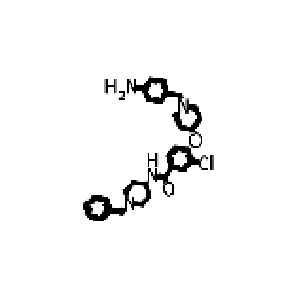 Nc1ccc(CN2CCC(Oc3ccc(C(=O)NC4CCN(Cc5ccccc5)CC4)cc3Cl)CC2)cc1